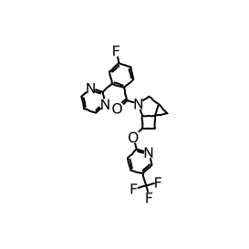 O=C(c1ccc(F)cc1-c1ncccn1)N1CC2CC23CC(Oc2ccc(C(F)(F)F)cn2)C13